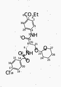 CCOC(=O)c1ccc(NC(=O)[C@@H](CNS(=O)(=O)c2ccc(Cl)cc2)COC2CCCCO2)cc1